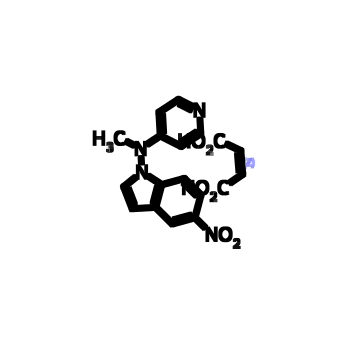 CN(c1ccncc1)n1ccc2cc([N+](=O)[O-])ccc21.O=C(O)/C=C\C(=O)O